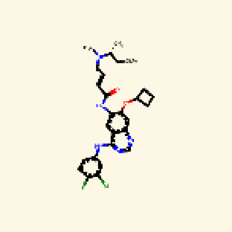 COC[C@@H](C)N(C)CC=CC(=O)Nc1cc2c(Nc3ccc(F)c(Cl)c3)ncnc2cc1OC1CCC1